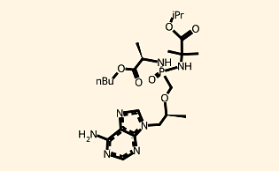 CCCCOC(=O)[C@@H](C)NP(=O)(CO[C@@H](C)Cn1cnc2c(N)ncnc21)NC(C)(C)C(=O)OC(C)C